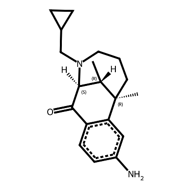 C[C@H]1[C@H]2C(=O)c3ccc(N)cc3[C@]1(C)CCCN2CC1CC1